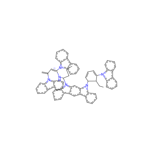 C=C(/C=C(\NC(CCC)n1c2ccccc2c2cc3c4ccccc4n(C4C=CC=C(n5c6ccccc6c6ccccc65)C4CC)c3cc21)n1c2ccccc2c2ccccc21)n1c2ccccc2c2ccccc21